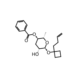 C=CCCC1(O[C@@H]2O[C@@H](C)[C@H](OC(=O)c3ccccc3)C[C@H]2O)CCC1